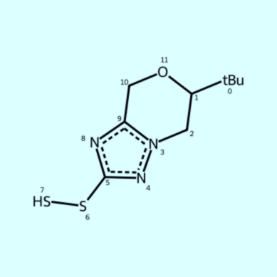 CC(C)(C)C1Cn2nc(SS)nc2CO1